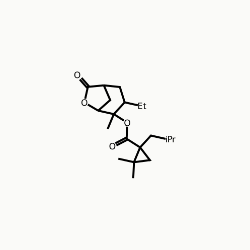 CCC1CC2CC(OC2=O)C1(C)OC(=O)C1(CC(C)C)CC1(C)C